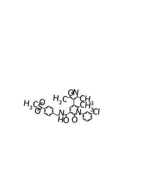 Cc1noc(C)c1-c1cc(C(=O)NCc2ccc(S(C)(=O)=O)cc2)c(=O)n(-c2cccc(Cl)c2)c1C